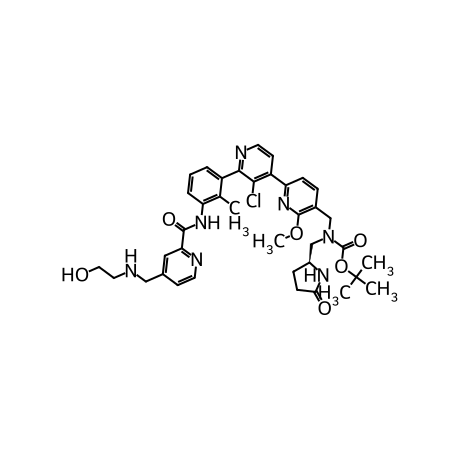 COc1nc(-c2ccnc(-c3cccc(NC(=O)c4cc(CNCCO)ccn4)c3C)c2Cl)ccc1CN(C[C@@H]1CCC(=O)N1)C(=O)OC(C)(C)C